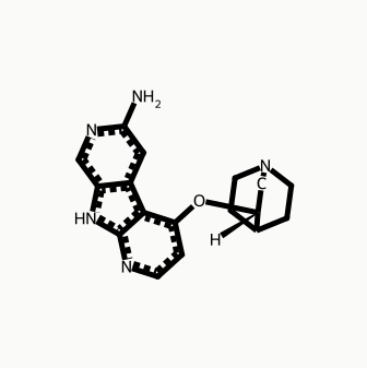 Nc1cc2c(cn1)[nH]c1nccc(O[C@@H]3CN4CCC3CC4)c12